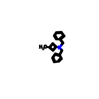 C[C@H]1C[C@@H](N(Cc2ccccc2)Cc2ccccc2)C1